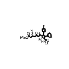 CCNC(=O)c1c(-c2ccccc2)c(-c2ccc(F)cc2)c(C=C[C@@H](O)C[C@@H](O)CC(=O)OC)n1C(C)C